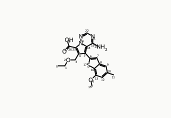 CCOCc1c(-c2cc3cc(C)cc(OC)c3s2)c2c(N)ncnn2c1C(=O)O